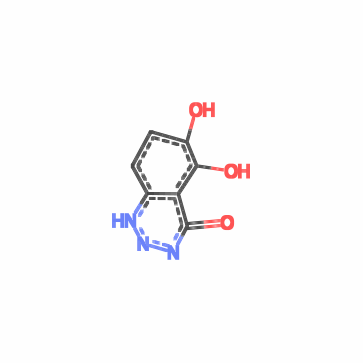 O=c1nn[nH]c2ccc(O)c(O)c12